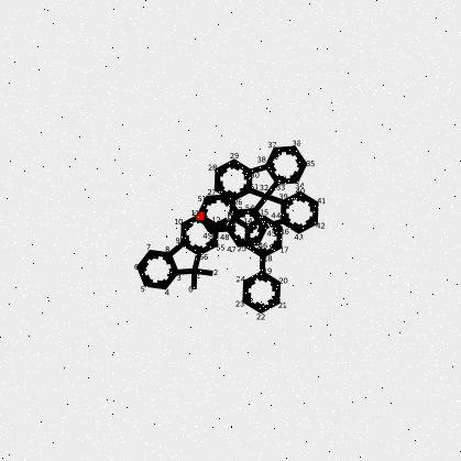 CC1(C)c2ccccc2-c2ccc(N(c3cccc(-c4ccccc4)c3)c3cccc4c3C3(c5ccccc5-4)c4ccccc4-c4ccc5ccccc5c43)cc21